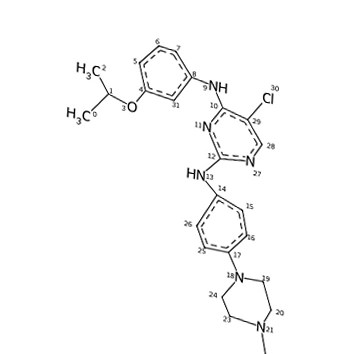 CC(C)Oc1cccc(Nc2nc(Nc3ccc(N4CCN(C)CC4)cc3)ncc2Cl)c1